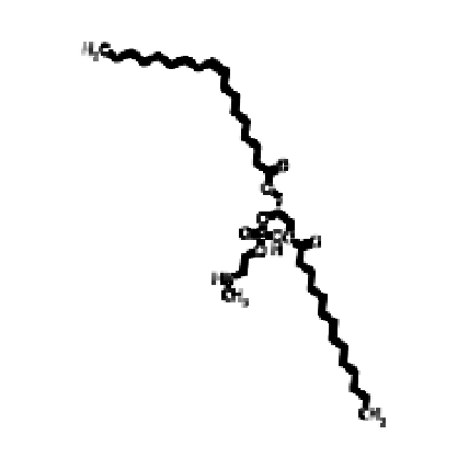 CCCCCCCC/C=C\CCCCCCCC(=O)OC[C@H](COC(=O)CCCCCCCCCCCCC)OP(=O)(O)OCCNC